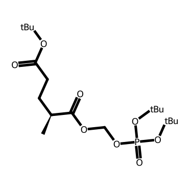 C[C@@H](CCC(=O)OC(C)(C)C)C(=O)OCOP(=O)(OC(C)(C)C)OC(C)(C)C